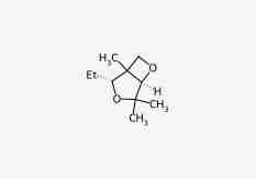 CC[C@H]1OC(C)(C)[C@@H]2OCC12C